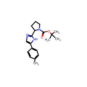 Cc1ccc(-c2cnc(C3CCCN3C(=O)OC(C)(C)C)[nH]2)cc1